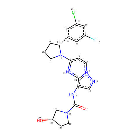 O=C(Nc1cnn2ccc(N3CCC[C@@H]3c3cc(F)cc(Cl)c3)nc12)N1CC[C@H](O)C1